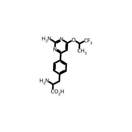 CC(Oc1cc(-c2ccc(CC(N)C(=O)O)cc2)nc(N)n1)C(F)(F)F